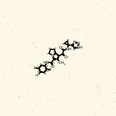 Cc1c(C(=O)C(=O)NC2(c3c[nH]nn3)CC2)c2n(c1C(=O)Nc1cc(F)c(F)cc1F)CCC2